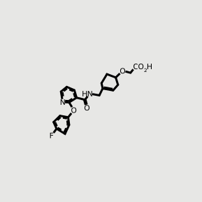 O=C(O)COC1CC=C(CNC(=O)c2cccnc2Oc2ccc(F)cc2)CC1